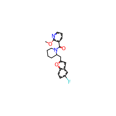 COc1ncccc1C(=O)N1CCCCC1Cc1cc2cc(F)ccc2o1